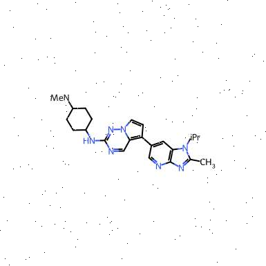 CNC1CCC(Nc2ncc3c(-c4cnc5nc(C)n(C(C)C)c5c4)ccn3n2)CC1